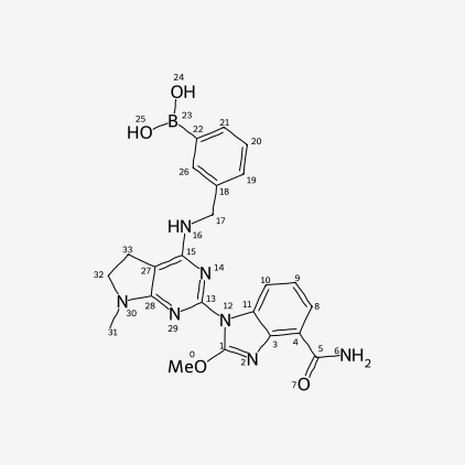 COc1nc2c(C(N)=O)cccc2n1-c1nc(NCc2cccc(B(O)O)c2)c2c(n1)N(C)CC2